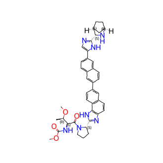 COC(=O)N[C@H](C(=O)N1CCC[C@H]1c1nc2ccc3cc(-c4ccc5cc(-c6cnc([C@H]7N[C@@H]8CC[C@H]7C8)[nH]6)ccc5c4)ccc3c2[nH]1)[C@@H](C)OC